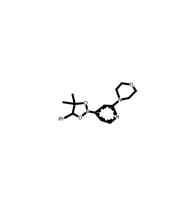 CC(C)C1OB(c2ccnc(N3CCOCC3)c2)OC1(C)C